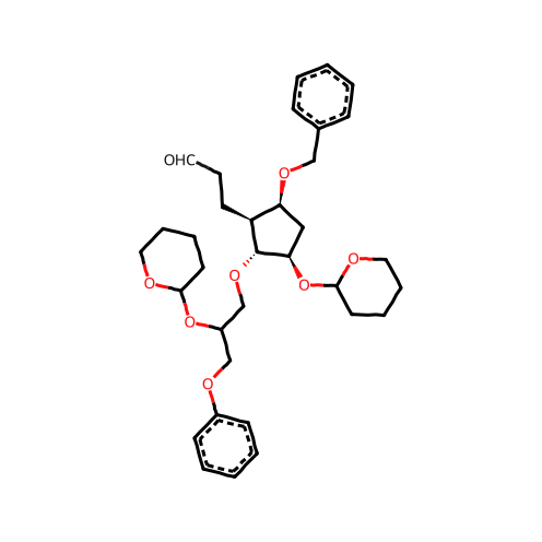 O=CCC[C@@H]1[C@@H](OCC(COc2ccccc2)OC2CCCCO2)[C@H](OC2CCCCO2)C[C@@H]1OCc1ccccc1